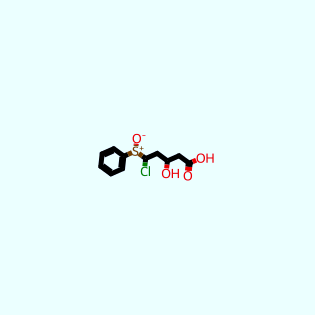 O=C(O)CC(O)CC(Cl)[S+]([O-])c1ccccc1